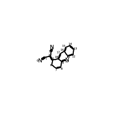 N#CC(C#N)=C1CC=Cc2nc3ccccc3cc21